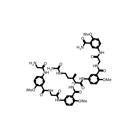 C=C(CCNC(N)=O)[C@@H](NC(=O)c1cc(NC(=O)CNC(=O)c2cc(NC(=O)CN)ccc2OC)ccc1OC)C(=O)Nc1ccc(OC)c(C(=O)NCC(=O)Nc2ccc(OC)c(C(N)=O)c2)c1